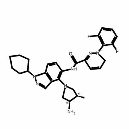 C[C@@H]1CN(c2c(NC(=O)C3=NN(c4c(F)cccc4F)CC=C3)ccc3c2cnn3C2CCCCC2)C[C@@H]1N